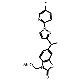 COCn1c(=O)sc2cc(C(C)c3ccn(-c4ccc(F)cn4)n3)ccc21